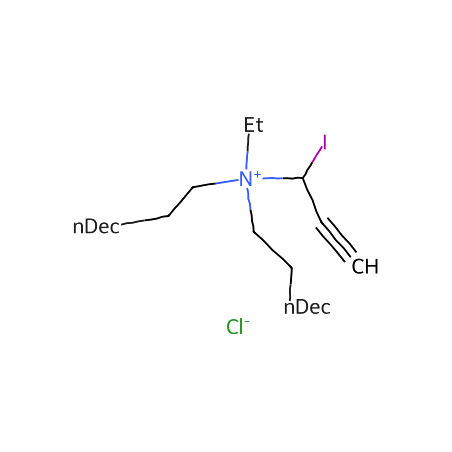 C#CC(I)[N+](CC)(CCCCCCCCCCCC)CCCCCCCCCCCC.[Cl-]